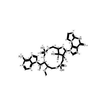 CO[C@@H]1COP(=O)(O)C[C@@H]2[C@H](O)[C@@H](COP(=O)(O)O[C@H]1[C@@H](F)n1cnc3c(N)ncnc31)O[C@H]2n1cnc2c(=O)[nH]c3nccn3c21